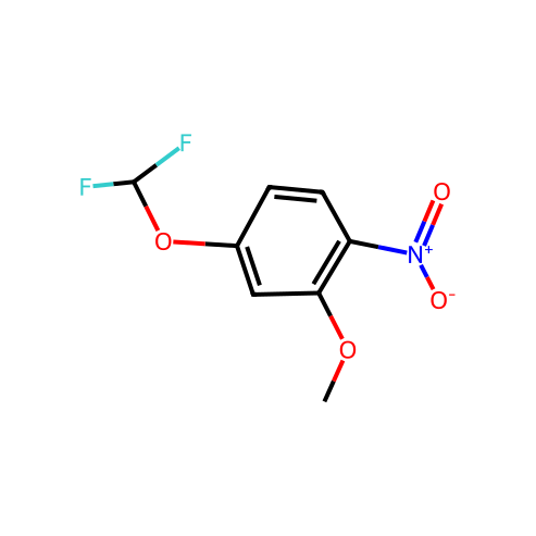 COc1cc(OC(F)F)ccc1[N+](=O)[O-]